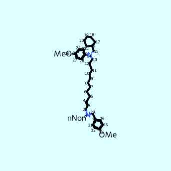 CCCCCCCCCN(C/C=C/CCCCCCCCCN(CC1CCCCC1)c1ccc(OC)cc1)Cc1ccc(OC)cc1